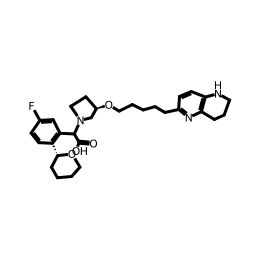 O=C(O)C(c1cc(F)ccc1[C@H]1CCCCO1)N1CC[C@@H](OCCCCCc2ccc3c(n2)CCCN3)C1